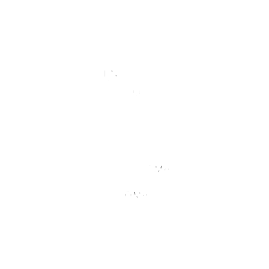 COc1ccc(CCCC(N)=O)cc1OC